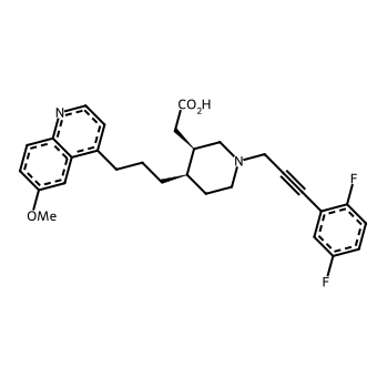 COc1ccc2nccc(CCC[C@@H]3CCN(CC#Cc4cc(F)ccc4F)C[C@@H]3CC(=O)O)c2c1